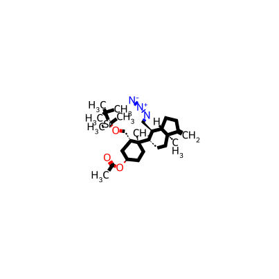 C=C1CC[C@H]2[C@H](CN=[N+]=[N-])[C@@H]([C@@]3(C)CC[C@H](OC(C)=O)C[C@@H]3CO[Si](C)(C)C(C)(C)C)CC[C@]12C